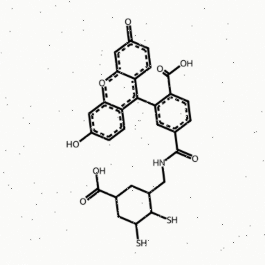 O=C(NCC1CC(C(=O)O)CC(S)C1S)c1ccc(C(=O)O)c(-c2c3ccc(=O)cc-3oc3cc(O)ccc23)c1